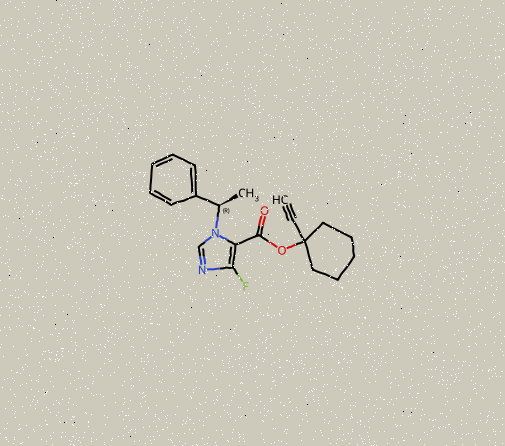 C#CC1(OC(=O)c2c(F)ncn2[C@H](C)c2ccccc2)CCCCC1